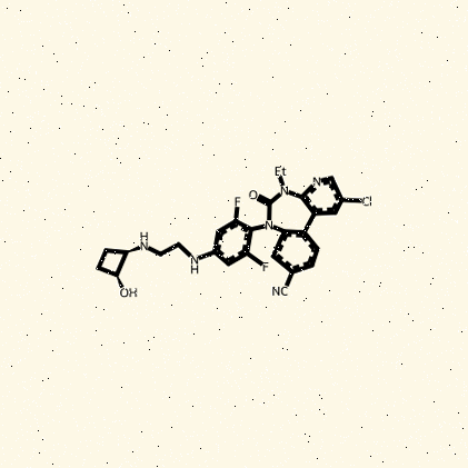 CCN1C(=O)N(c2c(F)cc(NCCN[C@@H]3CC[C@@H]3O)cc2F)c2cc(C#N)ccc2-c2cc(Cl)cnc21